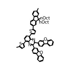 CCCCCCCCC1(CCCCCCCC)c2cc(C)ccc2-c2ccc(-c3ccc(-c4ccc(-c5ccc(C)s5)c5nc(-c6ccc7c(c6)oc6ccccc67)c(-c6ccc7c(c6)oc6ccccc67)nc45)s3)cc21